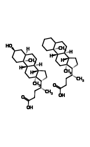 C[C@H](CCC(=O)O)[C@H]1CC[C@H]2[C@@H]3CCC4CCCC[C@]4(C)[C@H]3CC[C@]12C.C[C@H](CCC(=O)O)[C@H]1CC[C@H]2[C@@H]3CC[C@@H]4C[C@H](O)CC[C@]4(C)[C@H]3CC[C@]12C